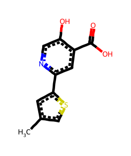 Cc1csc(-c2cc(C(=O)O)c(O)cn2)c1